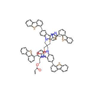 C=CC(=O)OCCNC(=O)OCC(CSc1nnc(C)s1)(Cn1c2ccc(-c3cccc4c3sc3ccccc34)cc2c2cc(-c3cccc4c3sc3ccccc34)ccc21)Cn1c2ccc(-c3cccc4c3sc3ccccc34)cc2c2cc(-c3cccc4c3sc3ccccc34)ccc21